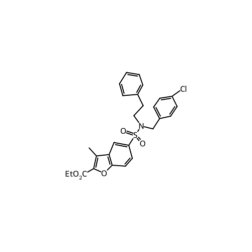 CCOC(=O)c1oc2ccc(S(=O)(=O)N(CCc3ccccc3)Cc3ccc(Cl)cc3)cc2c1C